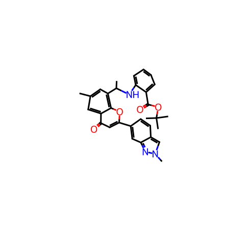 Cc1cc(C(C)Nc2ccccc2C(=O)OC(C)(C)C)c2oc(-c3ccc4cn(C)nc4c3)cc(=O)c2c1